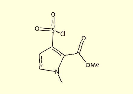 COC(=O)c1c(S(=O)(=O)Cl)ccn1C